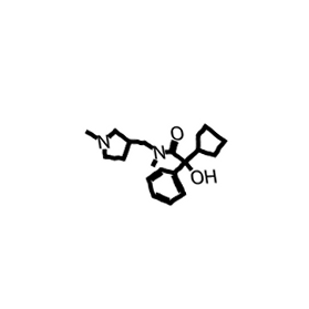 CN1CCC(CN(C)C(=O)C(O)(c2ccccc2)C2CCCC2)C1